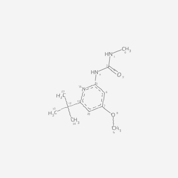 CNC(=O)Nc1cc(OC)cc(C(C)(C)C)n1